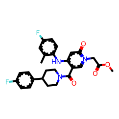 COC(=O)Cn1cc(C(=O)N2CCC(c3ccc(F)cc3)CC2)c(Nc2ccc(F)cc2C)cc1=O